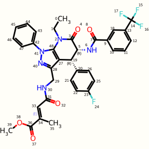 CCN1C(=O)[C@H](NC(=O)c2cccc(C(F)(F)F)c2)[C@H](c2ccc(F)cc2)c2c(CNC(=O)/C=C(\C)C(=O)OC)nn(-c3ccccc3)c21